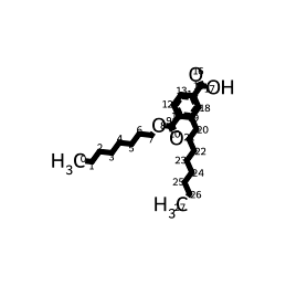 CCCCCCCCOC(=O)c1ccc(C(=O)O)cc1CCCCCCCC